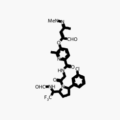 CN/N=C(C)\C=C(/C=O)Oc1ccc(C(=O)NCC(=O)N2C(c3cccc(Cl)c3)CCC2C(NC=O)C(F)(F)F)nc1C